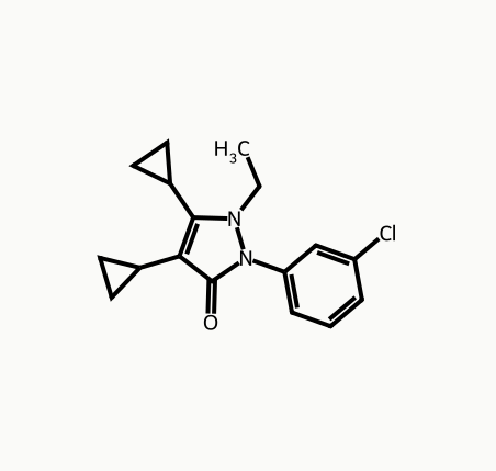 CCn1c(C2CC2)c(C2CC2)c(=O)n1-c1cccc(Cl)c1